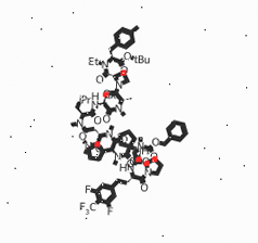 CC[C@H](C)[C@H](NC(=O)[C@H](CC(C)C)N(C)C(=O)C[C@@H](C(=O)N(C)C)N(C)C(=O)[C@H](C1CCCC1)N(C)C(=O)C1(NC(=O)[C@@H]2CCCN2C(=O)[C@H](CCc2cc(F)c(C(F)(F)F)c(F)c2)NC(=O)CN(C)C(=O)OCc2ccccc2)CCCC1)C(=O)N(C)[C@@H](C)C(=O)N1CC[C@H]1C(=O)N(CC)[C@@H](Cc1ccc(C)cc1)C(=O)OC(C)(C)C